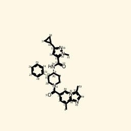 Cc1cc(C(=O)N2CC[C@@H](NC(=O)c3cc(C4CC4)nn3C)[C@@H](c3ccccc3)C2)cn2c(C)cnc12